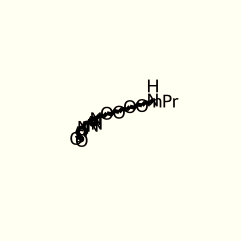 CCCNCCOCCOCCOCCOCCn1cc(CN2CCS(=O)(=O)CC2)nn1